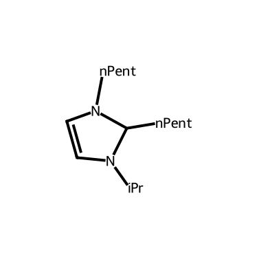 CCCCCC1N(CCCCC)C=CN1C(C)C